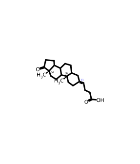 C[C@]12CC/C(=C\CCC(=O)O)CC1CCC1C2CC[C@]2(C)C(=O)CCC12